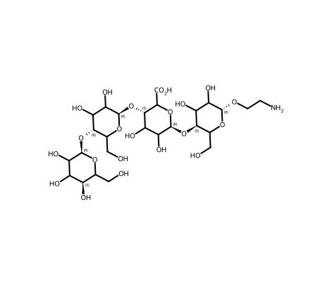 NCCO[C@@H]1OC(CO)[C@@H](O[C@@H]2OC(C(=O)O)[C@@H](O[C@H]3OC(CO)[C@H](O[C@H]4OC(CO)[C@@H](O)C(O)C4O)C(O)C3O)C(O)C2O)C(O)C1O